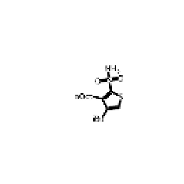 CCCCCCCCc1c(C(C)CC)csc1S(N)(=O)=O